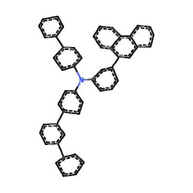 c1ccc(-c2ccc(N(c3ccc(-c4cccc(-c5ccccc5)c4)cc3)c3cccc(-c4cc5ccccc5c5ccccc45)c3)cc2)cc1